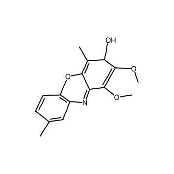 COC1=C(OC)C(O)C(C)=C2Oc3ccc(C)cc3N=C21